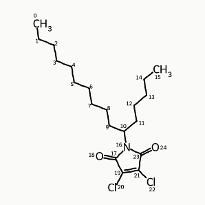 CCCCCCCCCCC(CCCCC)N1C(=O)C(Cl)=C(Cl)C1=O